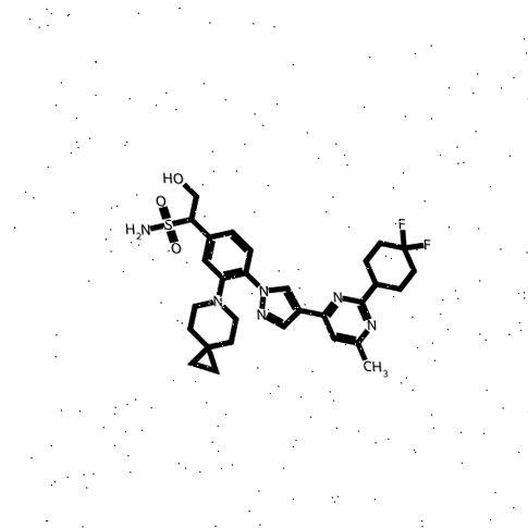 Cc1cc(-c2cnn(-c3ccc(C(CO)S(N)(=O)=O)cc3N3CCC4(CC3)CC4)c2)nc(C2CCC(F)(F)CC2)n1